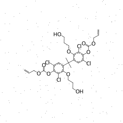 C=CCOC(=O)Oc1c(Cl)cc(C(C)(C)c2cc(Cl)c(OC(=O)OCC=C)c(Cl)c2OCCCO)c(OCCCO)c1Cl